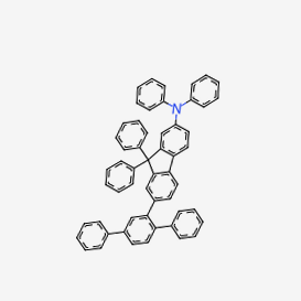 c1ccc(-c2ccc(-c3ccccc3)c(-c3ccc4c(c3)C(c3ccccc3)(c3ccccc3)c3cc(N(c5ccccc5)c5ccccc5)ccc3-4)c2)cc1